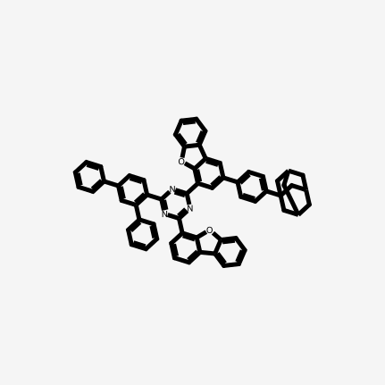 c1ccc(-c2ccc(-c3nc(-c4cccc5c4oc4ccccc45)nc(-c4cc(-c5ccc(C67CC8CC(CC(C8)C6)C7)cc5)cc5c4oc4ccccc45)n3)c(-c3ccccc3)c2)cc1